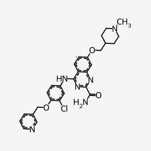 CN1CCC(COc2[c]cc3c(Nc4ccc(OCc5cccnc5)c(Cl)c4)nc(C(N)=O)nc3c2)CC1